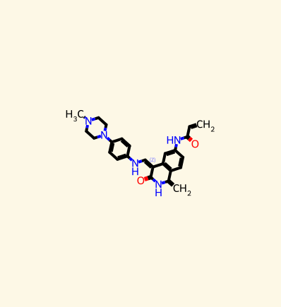 C=CC(=O)Nc1ccc2c(=C)[nH]c(=O)/c(=C\Nc3ccc(N4CCN(C)CC4)cc3)c2c1